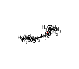 COC(=O)c1cc2c(cc1C(C)C)CCC1C(C)(C(=O)OCCCCCCCCCCOC(=O)C3(C)CCCC4(C)c5cc(COC=O)c(C(C)C)cc5CCC34)CCCC21C